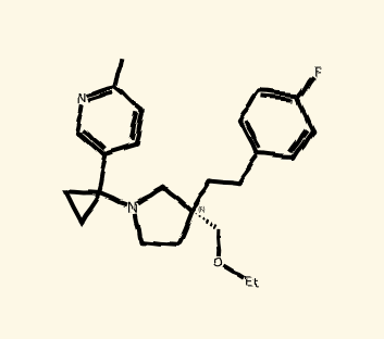 CCOC[C@]1(CCc2ccc(F)cc2)CCN(C2(c3ccc(C)nc3)CC2)C1